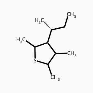 CC[C@@H](C)C1C(C)SC(C)C1C